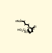 CC(=O)O.CCCCCCCCCCCCn1cccc1CC